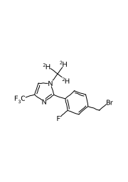 [2H]C([2H])([2H])n1cc(C(F)(F)F)nc1-c1ccc(CBr)cc1F